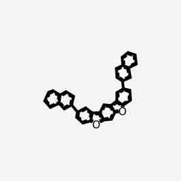 c1ccc2cc(-c3ccc4oc5cc6oc7ccc(-c8ccc9ccccc9c8)cc7c6cc5c4c3)ccc2c1